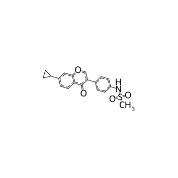 CS(=O)(=O)Nc1ccc(-c2coc3cc(C4CC4)ccc3c2=O)cc1